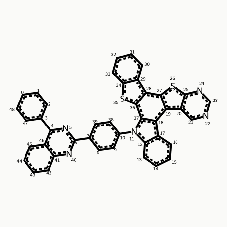 c1ccc(-c2nc(-c3ccc(-n4c5ccccc5c5c6c7cncnc7sc6c6c7ccccc7sc6c54)cc3)nc3ccccc23)cc1